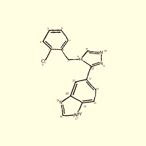 Clc1ccccc1Cn1cnnc1-c1ccc2[nH]cnc2c1